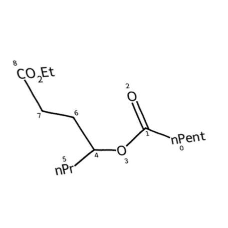 CCCCCC(=O)OC(CCC)CCC(=O)OCC